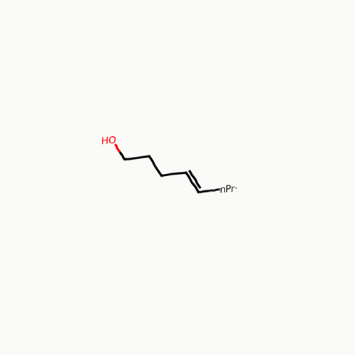 CC[CH]C=CCCCO